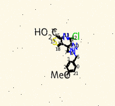 COc1ccc(Cn2cc3c(n2)c(Cl)nc2c(C(=O)O)scc23)cc1